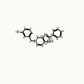 Fc1cccc(CN2C=Cc3[nH]c(-c4ccccc4)nc3C2)c1